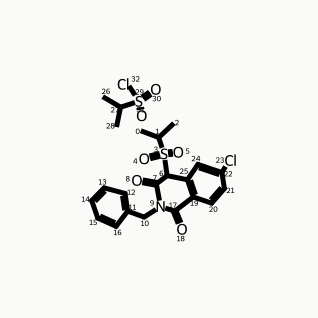 CC(C)S(=O)(=O)C1C(=O)N(Cc2ccccc2)C(=O)c2ccc(Cl)cc21.CC(C)S(=O)(=O)Cl